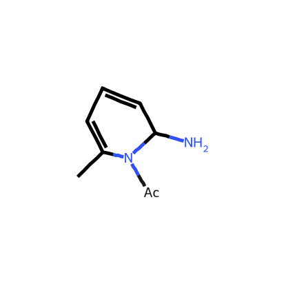 CC(=O)N1C(C)=CC=CC1N